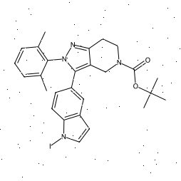 Cc1cccc(C)c1-n1nc2c(c1-c1ccc3c(ccn3I)c1)CN(C(=O)OC(C)(C)C)CC2